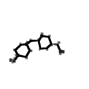 CN1CCN(C[C@@H]2CC[C@@H](CO)CO2)CC1